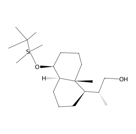 C[C@@H](CO)[C@H]1CCC[C@H]2[C@@H](O[Si](C)(C)C(C)(C)C)CCC[C@]12C